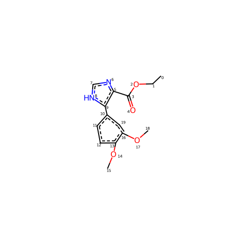 CCOC(=O)c1nc[nH]c1-c1ccc(OC)c(OC)c1